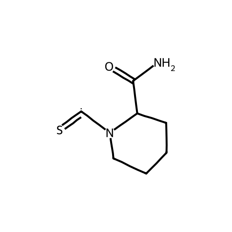 NC(=O)C1CCCCN1[C]=S